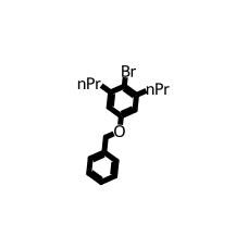 CCCc1cc(OCc2ccccc2)cc(CCC)c1Br